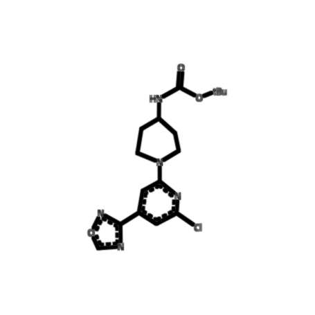 CC(C)(C)OC(=O)NC1CCN(c2cc(-c3ncon3)cc(Cl)n2)CC1